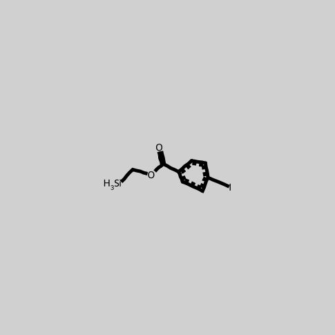 O=C(OC[SiH3])c1ccc(I)cc1